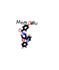 CC[C@@H](C)Oc1ccc(C(=O)N2CCC3(CC2)Oc2ccccc2-n2cccc23)cc1OC